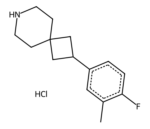 Cc1cc(C2CC3(CCNCC3)C2)ccc1F.Cl